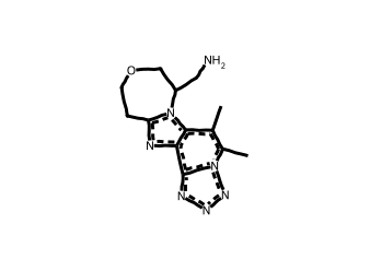 Cc1c(C)n2nnnc2c2nc3n(c12)C(CN)COCC3